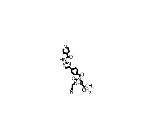 CC(C)CCN(C(=O)NCC#N)C(=O)c1ccc(-c2csc(NC(=O)c3ccncc3)n2)cc1